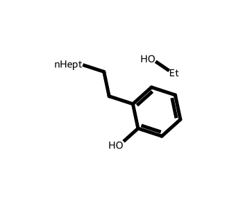 CCCCCCCCCc1ccccc1O.CCO